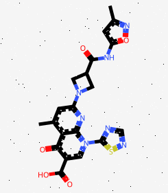 Cc1cc(NC(=O)C2CN(c3cc(C)c4c(=O)c(C(=O)O)cn(-c5ncns5)c4n3)C2)on1